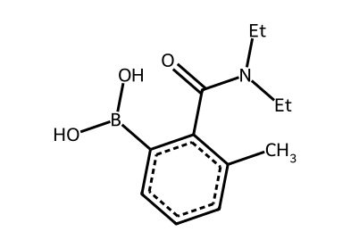 CCN(CC)C(=O)c1c(C)cccc1B(O)O